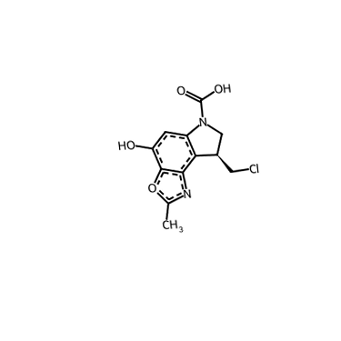 Cc1nc2c3c(cc(O)c2o1)N(C(=O)O)C[C@H]3CCl